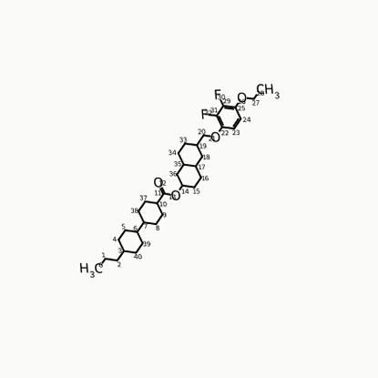 CCCC1CCC(C2CCC(C(=O)OC3CCC4CC(COc5ccc(OCC)c(F)c5F)CCC4C3)CC2)CC1